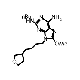 CCCCNc1nc(N)c2nc(OC)n(CCCCC3CCOC3)c2n1